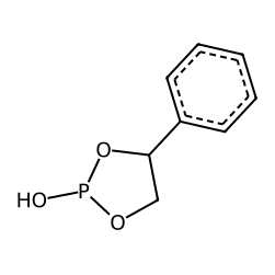 OP1OCC(c2ccccc2)O1